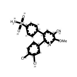 COc1nc(-c2ccc(Cl)c(Cl)c2)c(-c2ccc(S(N)(=O)=O)cc2)cc1C#N